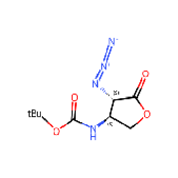 CC(C)(C)OC(=O)N[C@@H]1COC(=O)[C@H]1N=[N+]=[N-]